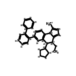 CC[C@@H]1c2nnc(C)n2-c2cnc(-c3cnncc3-c3ccccc3)nc2N1C1CCCC1